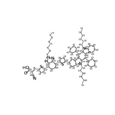 CCCCCCCCn1nc2c(-c3ccc(/C=C(\C#N)C(=O)O)s3)ccc(-c3ccc(-c4ccc5c(c4)c4c(-c6ccccc6)c6c(c(-c7ccccc7)c4n5CCCCCC)c4ccccc4n6CCCCCC)s3)c2n1